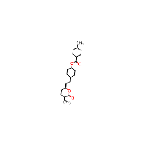 CC1CCC(C(=O)OC2CCC(CCC3CCC(C)C(=O)O3)CC2)CC1